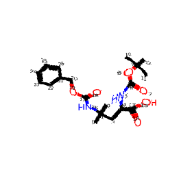 CC(C)(C=C(NC(=O)OC(C)(C)C)C(=O)O)NC(=O)OCc1ccccc1